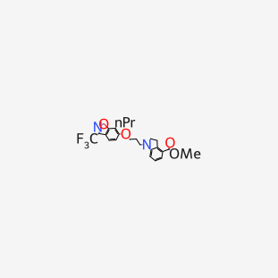 CCCc1c(OCCCN2CCc3c(C(=O)OC)cccc32)ccc2c(C(F)(F)F)noc12